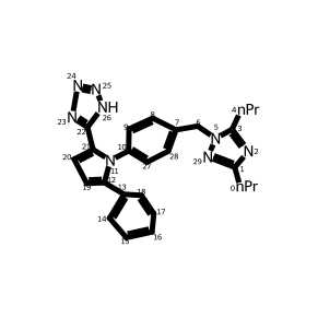 CCCc1nc(CCC)n(Cc2ccc(-n3c(-c4ccccc4)ccc3-c3nnn[nH]3)cc2)n1